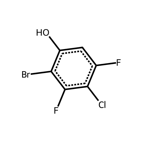 Oc1cc(F)c(Cl)c(F)c1Br